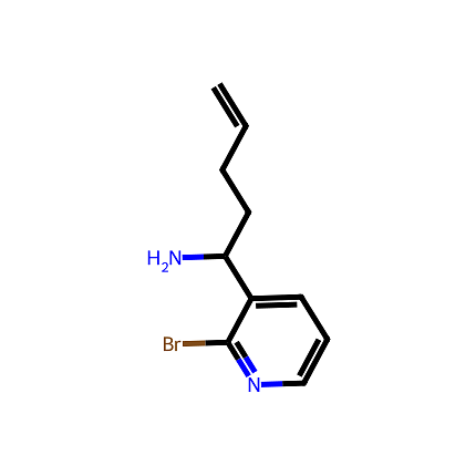 C=CCCC(N)c1cccnc1Br